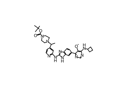 COc1c(NC2CCC2)ncnc1-c1ccc2nc(Nc3cc(C(C)N4CCN(C(=O)OC(C)(C)C)CC4)ccn3)[nH]c2c1